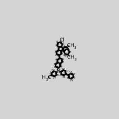 CC1=CC2(c3cc(Cl)ccc3-c3ccc(-c4ccc5cc(N(c6ccc(C)cc6)c6ccc(-c7ccccc7)cc6)ccc5c4)cc32)C2CC(C)CC1C2